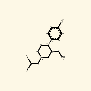 OC[C@H]1CN(CC(F)F)CC[C@@H]1c1ccc(Cl)cc1